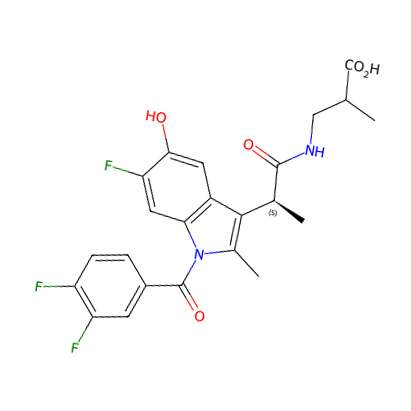 Cc1c([C@H](C)C(=O)NCC(C)C(=O)O)c2cc(O)c(F)cc2n1C(=O)c1ccc(F)c(F)c1